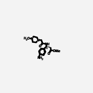 COC(=O)C[C@@H](NC(=O)CN1CCN(C)CC1)c1ccc(N)cc1